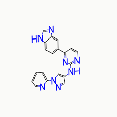 c1ccc(-n2cc(Nc3nccc(-c4ccc5[nH]cnc5c4)n3)cn2)nc1